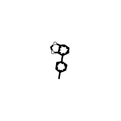 Cc1ccc(-c2[c]ccc3c2OCO3)cc1